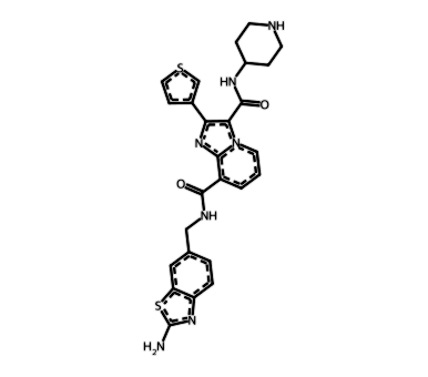 Nc1nc2ccc(CNC(=O)c3cccn4c(C(=O)NC5CCNCC5)c(-c5ccsc5)nc34)cc2s1